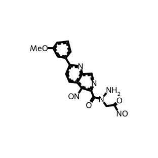 COc1cccc(-c2ccc3c(N=O)c(C(=O)N(N)CC(=O)N=O)ncc3n2)c1